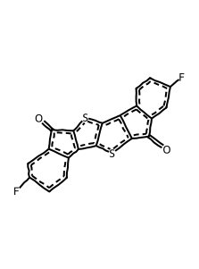 O=c1c2cc(F)ccc2c2c1sc1c2sc2c(=O)c3cc(F)ccc3c21